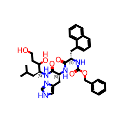 CC(C)C[C@H](NC(=O)[C@H](Cc1c[nH]cn1)NC(=O)[C@H](Cc1cccc2ccccc12)NC(=O)OCc1ccccc1)C(O)CCO